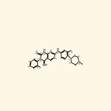 B=C1c2cnc(Nc3ccc(N4CCN(C)CC4)c(C)c3)nc2NC(=O)N1c1ccccc1C